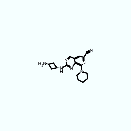 N#Cc1cc2cnc(N[C@H]3C[C@H](N)C3)nc2c(N2CCCCC2)n1